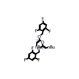 CCCC/C=C(/OCc1c(F)cc(F)cc1F)O/C(=C\CCCC)OCc1c(F)cc(F)cc1F